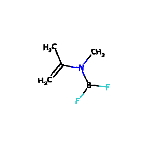 C=C(C)N(C)B(F)F